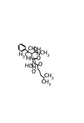 CNC(=O)C(NC(=O)N(O)C(=O)[C@@H](O)CCC(C)C)C(C)(C)c1ccccc1